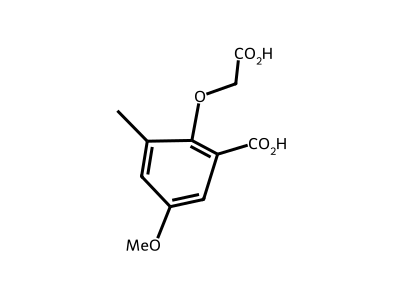 COc1cc(C)c(OCC(=O)O)c(C(=O)O)c1